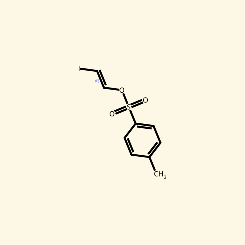 Cc1ccc(S(=O)(=O)O/C=C/I)cc1